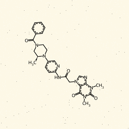 C[C@H]1CN(C(=O)c2ccccc2)CCN1c1ccc(NC(=O)Cn2cnc3c2c(=O)n(C)c(=O)n3C)nc1